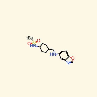 CC(C)(C)S(=O)(=O)NC1CCC(CNc2ccc3ocnc3c2)CC1